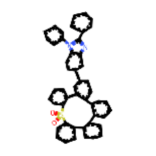 O=S1(=O)c2ccccc2-c2ccccc2-c2ccccc2-c2ccc(-c3ccc4c(c3)nc(-c3ccccc3)n4-c3ccccc3)cc2-c2ccccc21